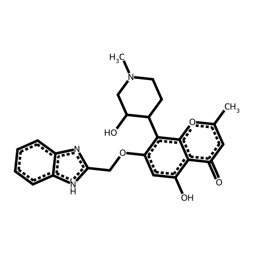 Cc1cc(=O)c2c(O)cc(OCc3nc4ccccc4[nH]3)c(C3CCN(C)CC3O)c2o1